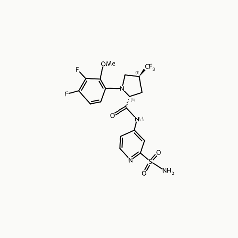 COc1c(N2C[C@@H](C(F)(F)F)C[C@@H]2C(=O)Nc2ccnc(S(N)(=O)=O)c2)ccc(F)c1F